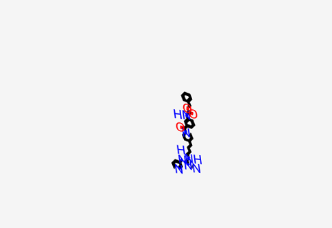 N#C/N=C(\NCCCCC1CCN(C(=O)c2cccc(NC(=O)OCc3ccccc3)c2)CC1)Nc1cccnc1